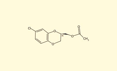 CC(=O)OC[C@H]1COc2ccc(Cl)cc2O1